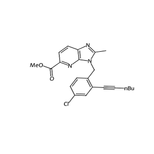 CCCCC#Cc1cc(Cl)ccc1Cn1c(C)nc2ccc(C(=O)OC)nc21